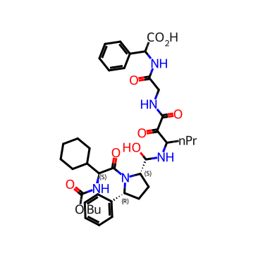 CCCC(NC(O)[C@@H]1CC[C@H](c2ccccc2)N1C(=O)[C@@H](NC(=O)OCC(C)C)C1CCCCC1)C(=O)C(=O)NCC(=O)NC(C(=O)O)c1ccccc1